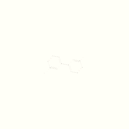 Oc1cccc(-c2cccc(Br)c2)c1